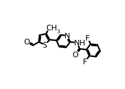 Cc1cc(C=O)sc1-c1ccc(NC(=O)c2c(F)cccc2F)nc1